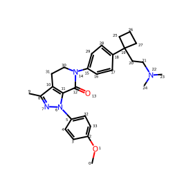 COc1ccc(-n2nc(C)c3c2C(=O)N(c2ccc(C4(CCN(C)C)CCC4)cc2)CC3)cc1